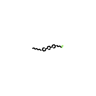 CCCCCCC[C@H]1CC[C@H]([C@H]2CC[C@H]([C@H]3CC[C@H](C=CCCF)CC3)CC2)CC1